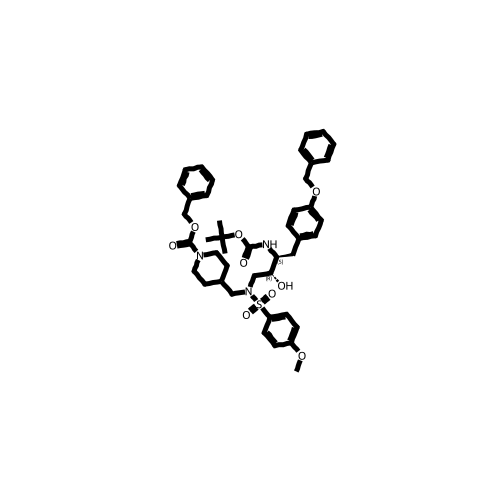 COc1ccc(S(=O)(=O)N(CC2CCN(C(=O)OCc3ccccc3)CC2)C[C@@H](O)[C@H](Cc2ccc(OCc3ccccc3)cc2)NC(=O)OC(C)(C)C)cc1